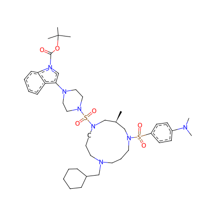 C[C@H]1CN(S(=O)(=O)c2ccc(N(C)C)cc2)CCCN(CC2CCCCC2)CCCN(S(=O)(=O)N2CCN(c3cn(C(=O)OC(C)(C)C)c4ccccc34)CC2)C1